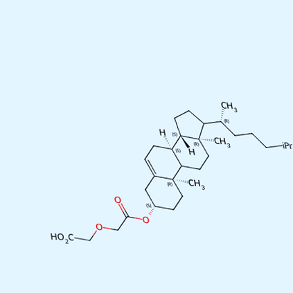 CC(C)CCC[C@@H](C)C1CC[C@H]2[C@@H]3CC=C4C[C@@H](OC(=O)COCC(=O)O)CC[C@]4(C)C3CC[C@]12C